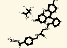 CCCNNC(=O)c1ccc(CNC(=O)CNC(=O)c2ccccc2-c2c3ccc(=N)cc-3oc3cc(N)ccc23)cc1.O=C(O)C(F)(F)F